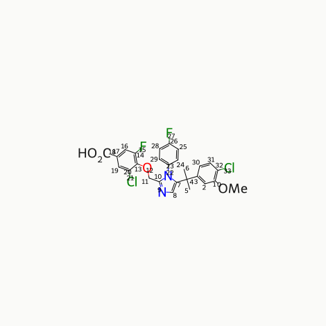 COc1cc(C(C)(C)c2cnc(COc3c(F)cc(C(=O)O)cc3Cl)n2-c2ccc(F)cc2)ccc1Cl